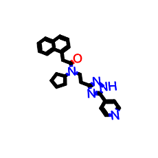 O=C(Cc1cccc2ccccc12)N(CCc1n[nH]c(-c2ccncc2)n1)C1CCCC1